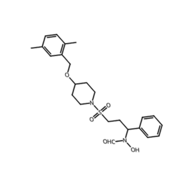 Cc1ccc(C)c(COC2CCN(S(=O)(=O)CCC(c3ccccc3)N(O)C=O)CC2)c1